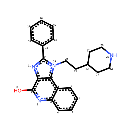 Oc1nc2ccccc2c2c1nc(-c1ccccc1)n2CCC1CCNCC1